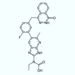 CCN(C(=O)O)c1nc2cc(-c3cc(Cc4n[nH]c(=O)c5ccccc45)ccc3F)c(C)nc2[nH]1